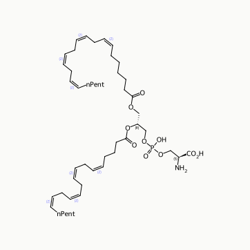 CCCCC/C=C\C/C=C\C/C=C\C/C=C\CCCCCC(=O)OC[C@H](COP(=O)(O)OC[C@H](N)C(=O)O)OC(=O)CCC/C=C\C/C=C\C/C=C\C/C=C\CCCCC